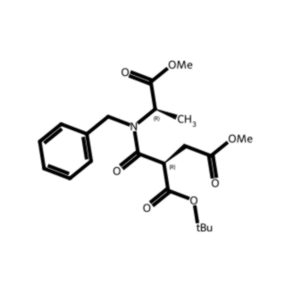 COC(=O)C[C@@H](C(=O)OC(C)(C)C)C(=O)N(Cc1ccccc1)[C@H](C)C(=O)OC